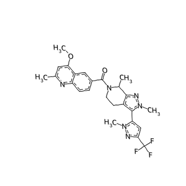 COc1cc(C)nc2ccc(C(=O)N3CCc4c(nn(C)c4-c4cc(C(F)(F)F)nn4C)C3C)cc12